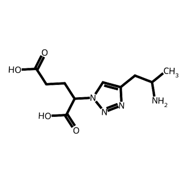 CC(N)Cc1cn(C(CCC(=O)O)C(=O)O)nn1